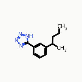 CCCC(C)c1cccc(-c2nnn[nH]2)c1